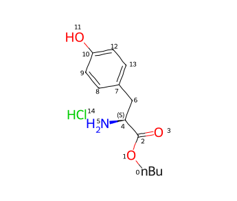 CCCCOC(=O)[C@@H](N)Cc1ccc(O)cc1.Cl